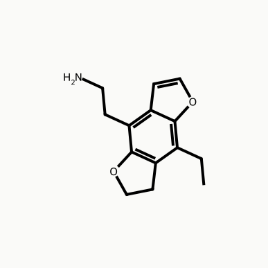 CCc1c2c(c(CCN)c3ccoc13)OCC2